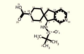 CC(C)(C)[S@@+]([O-])N[C@@H]1c2cnccc2CC12CCN(C(=O)O)CC2